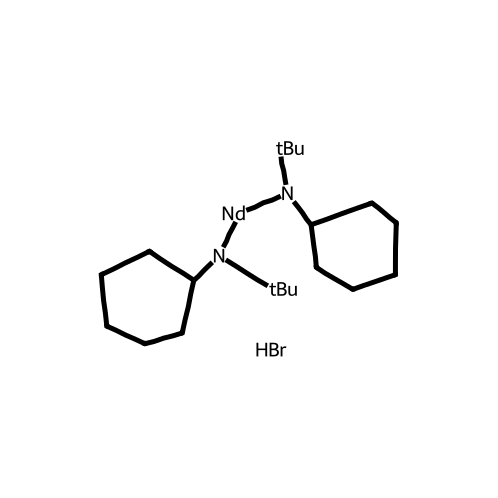 Br.CC(C)(C)[N]([Nd][N](C1CCCCC1)C(C)(C)C)C1CCCCC1